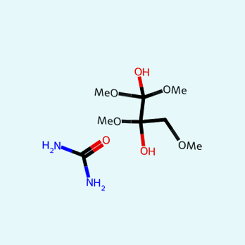 COCC(O)(OC)C(O)(OC)OC.NC(N)=O